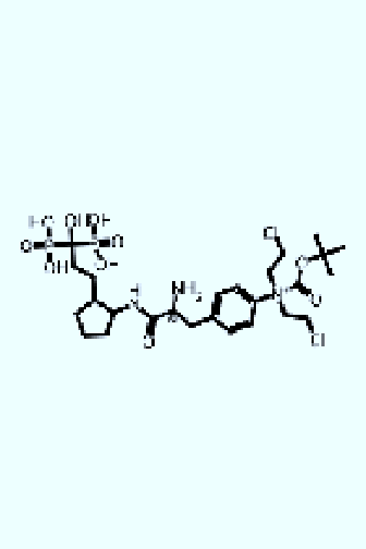 CC(C)(C)OC(=O)[N+](CCCl)(CCCl)c1ccc(C[C@H](N)C(=O)NC2CCCC2CCC(O)(P(=O)(O)O)P(=O)(O)O)cc1